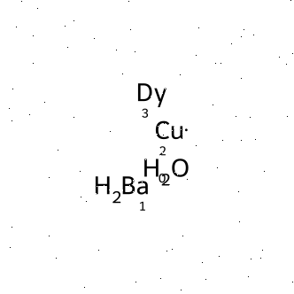 O.[BaH2].[Cu].[Dy]